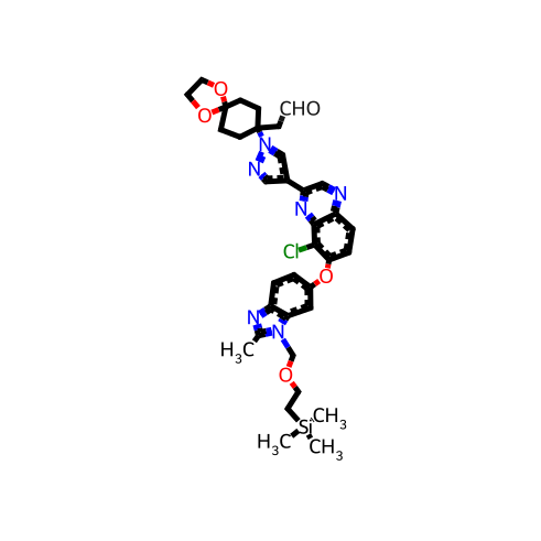 Cc1nc2ccc(Oc3ccc4ncc(-c5cnn(C6(CC=O)CCC7(CC6)OCCO7)c5)nc4c3Cl)cc2n1COCC[Si](C)(C)C